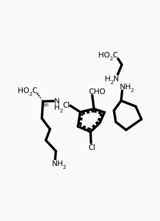 NC1CCCCC1.NCC(=O)O.NCCCC[C@@H](N)C(=O)O.O=Cc1ccc(Cl)cc1Cl